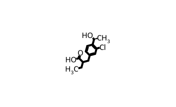 CCC(Cc1ccc([C@H](C)O)c(Cl)c1)C(=O)O